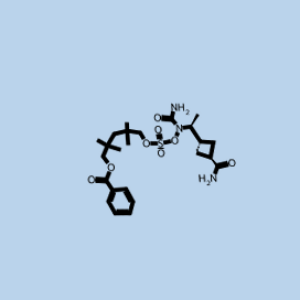 C[C@@H]([C@H]1C[C@H](C(N)=O)C1)N(OS(=O)(=O)OCC(C)(C)CC(C)(C)COC(=O)c1ccccc1)C(N)=O